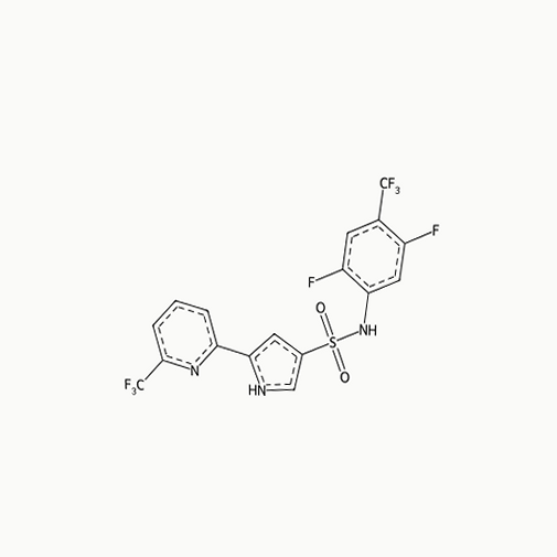 O=S(=O)(Nc1cc(F)c(C(F)(F)F)cc1F)c1c[nH]c(-c2cccc(C(F)(F)F)n2)c1